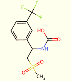 CS(=O)(=O)CC(NC(=O)O)c1cccc(C(F)(F)F)c1